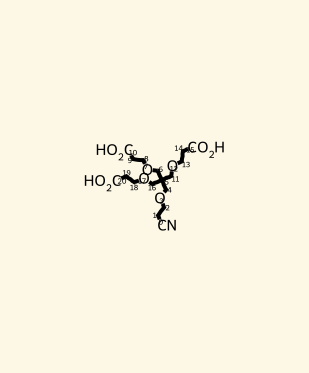 N#CCCOCC(COCCC(=O)O)(COCCC(=O)O)COCCC(=O)O